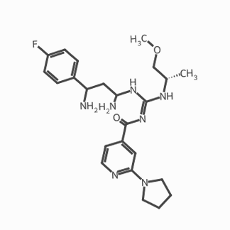 COC[C@H](C)N/C(=N/C(=O)c1ccnc(N2CCCC2)c1)NC(N)CC(N)c1ccc(F)cc1